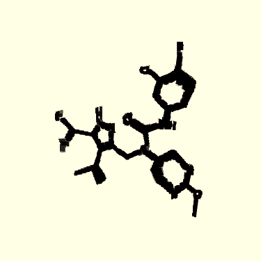 C=C(C)c1c(CN(C(=O)Nc2ccc(F)c(Cl)c2)c2cnc(OC)nc2)n[nH]c1C(F)F